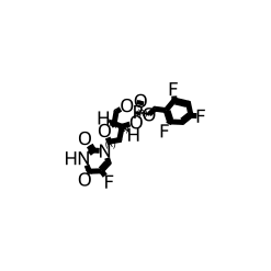 O=c1[nH]c(=O)n([C@H]2C[C@@H]3O[P@](=O)(OCc4c(F)cc(F)cc4F)OC[C@H]3O2)cc1F